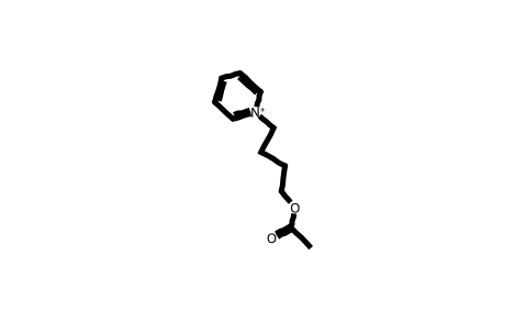 CC(=O)OCCCC[n+]1ccccc1